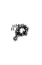 CO[C@H]1CN(C)C(=O)[C@@H]2C[C@@H](CN2C(=O)OCc2ccccc2)Oc2nccc(n2)-c2nccc3nc(C)n(c23)C1